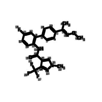 CO/N=C(\C)c1ccc(-c2cc(F)ccc2NC(=O)c2cn(C)nc2C(F)(F)F)cc1